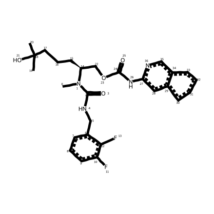 CN(C(=O)NCc1cccc(F)c1F)[C@@H](CCCC(C)(C)O)COC(=O)Nc1cc2ccccc2cn1